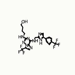 OCCCCNc1nc(NCc2ncc(-c3ccc(C(F)(F)F)cc3)[nH]2)c2ncc(C(F)(F)F)n2n1